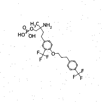 CC(N)(CCc1ccc(OCCCc2ccc(C(F)(F)F)cc2)c(C(F)(F)F)c1)COP(=O)(O)O